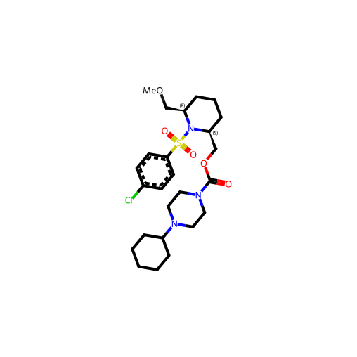 COC[C@H]1CCC[C@@H](COC(=O)N2CCN(C3CCCCC3)CC2)N1S(=O)(=O)c1ccc(Cl)cc1